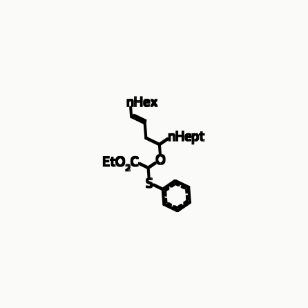 CCCCCCC=CCC(CCCCCCC)OC(Sc1ccccc1)C(=O)OCC